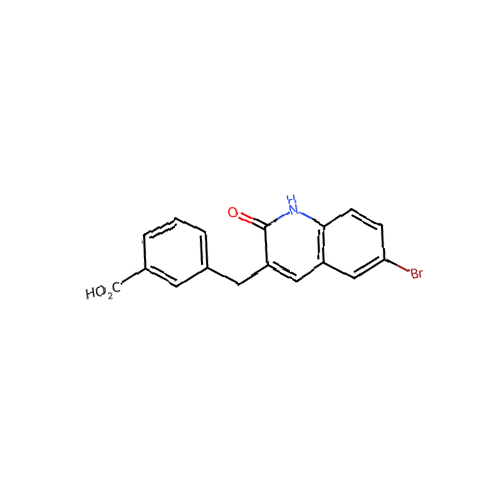 O=C(O)c1cccc(Cc2cc3cc(Br)ccc3[nH]c2=O)c1